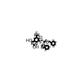 Oc1nc(O)c2cc(C(F)(F)F)c(Cl)c(SC[C@H](COCc3ccccc3)n3cnc4ccccc43)c2n1